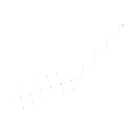 CCCCCCCCC(F)(F)C(F)(F)C(F)(F)C(F)(F)C(F)(F)C(F)(F)F